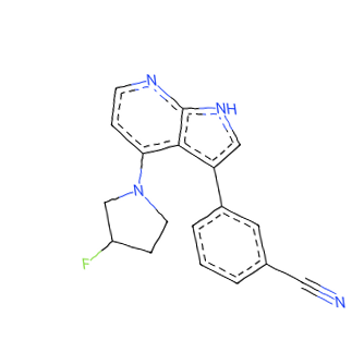 N#Cc1cccc(-c2c[nH]c3nccc(N4CCC(F)C4)c23)c1